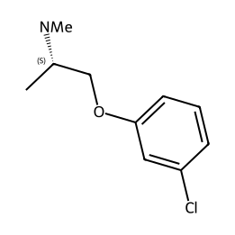 CN[C@@H](C)COc1cccc(Cl)c1